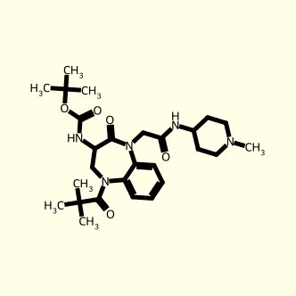 CN1CCC(NC(=O)CN2C(=O)C(NC(=O)OC(C)(C)C)CN(C(=O)C(C)(C)C)c3ccccc32)CC1